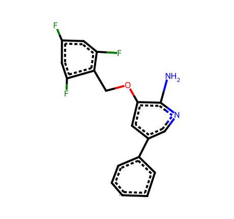 Nc1ncc(-c2cc[c]cc2)cc1OCc1c(F)cc(F)cc1F